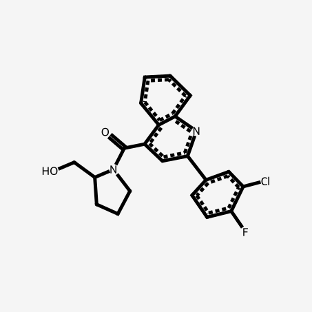 O=C(c1cc(-c2ccc(F)c(Cl)c2)nc2ccccc12)N1CCCC1CO